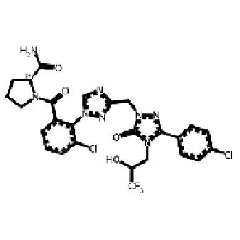 NC(=O)[C@@H]1CCCN1C(=O)c1cccc(Cl)c1-n1cnc(Cn2nc(-c3ccc(Cl)cc3)n(CC(O)C(F)(F)F)c2=O)n1